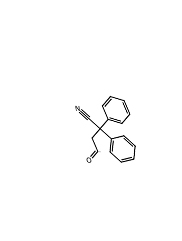 N#CC(C[C]=O)(c1ccccc1)c1ccccc1